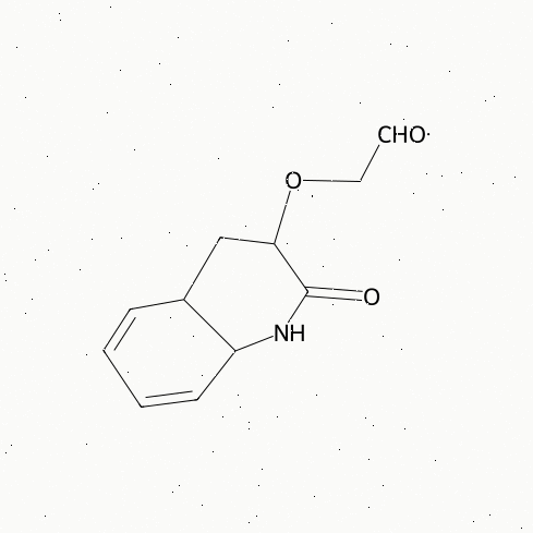 O=[C]COC1CC2C=CC=CC2NC1=O